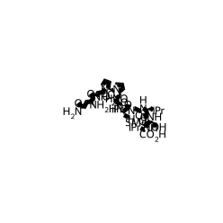 CSCC[C@H](NC(=O)[C@H](CC(C)C)NC(=O)[C@@H]1CCCN1C(=O)[C@@H]1CCCN1C(=O)CNC(=O)[C@@H](N)CCC(N)=O)C(=O)NCC(=O)N[C@@H](CC(C)C)C(=O)N[C@@H](CO)C(=O)N[C@H](C(=O)O)C(C)C